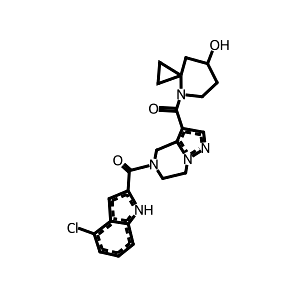 O=C(c1cc2c(Cl)cccc2[nH]1)N1CCn2ncc(C(=O)N3CCC(O)CC34CC4)c2C1